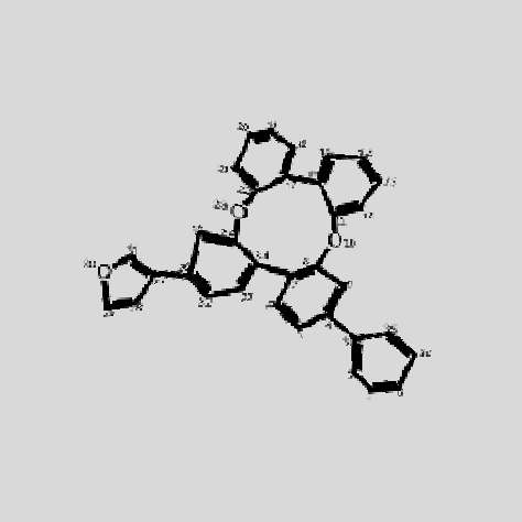 c1ccc(-c2ccc3c(c2)Oc2ccccc2-c2ccccc2Oc2cc(-c4ccoc4)ccc2-3)cc1